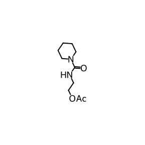 CC(=O)OCCNC(=O)N1CCCCC1